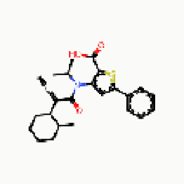 C=C=C(C(=O)N(c1cc(-c2ccccc2)sc1C(=O)O)C(C)C)C1CCCCC1C